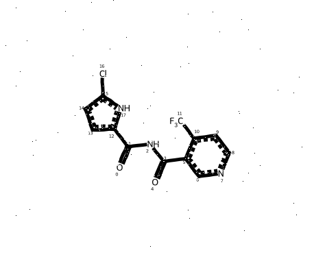 O=C(NC(=O)c1cnccc1C(F)(F)F)c1ccc(Cl)[nH]1